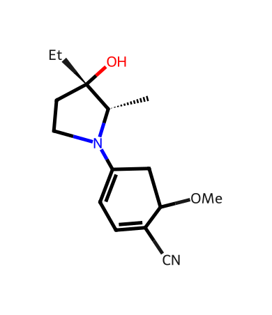 CC[C@]1(O)CCN(C2=CC=C(C#N)C(OC)C2)[C@H]1C